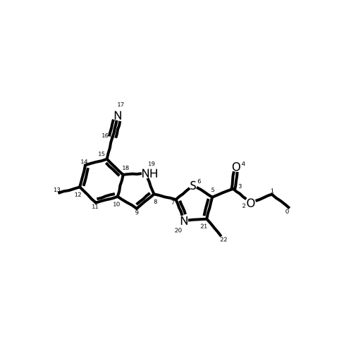 CCOC(=O)c1sc(-c2cc3cc(C)cc(C#N)c3[nH]2)nc1C